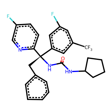 O=C(NC1CCCC1)N[C@@](Cc1ccccc1)(c1cc(F)cc(C(F)(F)F)c1)c1ccc(F)cn1